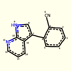 N#Cc1ccccc1-c1c[nH]c2ncccc12